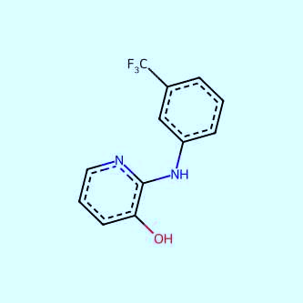 Oc1cccnc1Nc1cccc(C(F)(F)F)c1